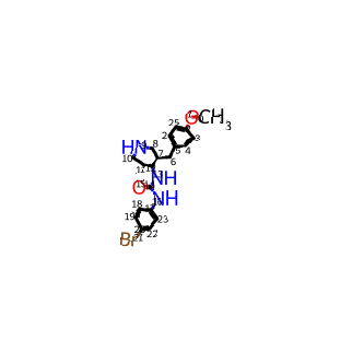 COc1ccc(CC2CNCCC2NC(=O)Nc2ccc(Br)cc2)cc1